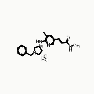 Cc1cc(C=CC(=O)NO)cnc1N[C@@H]1CCN(Cc2ccccc2)C1.Cl.Cl